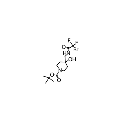 CC(C)(C)OC(=O)N1CCC(O)(CNC(=O)C(F)(F)Br)CC1